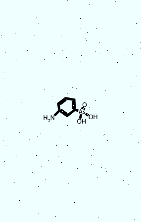 Nc1cccc([As](=O)(O)O)c1